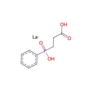 O=C(O)CCP(=O)(O)c1ccccc1.[La]